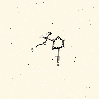 CCOP(=O)(O)c1cccc(C#N)c1